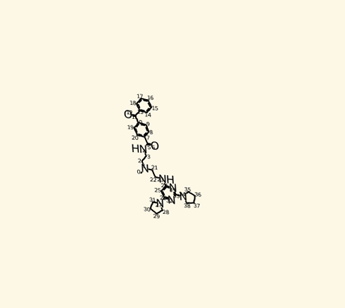 CN(CCNC(=O)c1ccc(C(=O)c2ccccc2)cc1)CCNc1cc(N2CCCC2)nc(N2CCCC2)n1